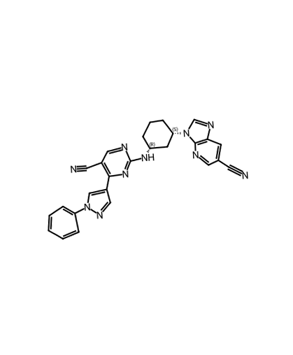 N#Cc1cnc2c(c1)ncn2[C@H]1CCC[C@@H](Nc2ncc(C#N)c(-c3cnn(-c4ccccc4)c3)n2)C1